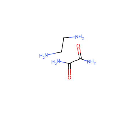 NC(=O)C(N)=O.NCCN